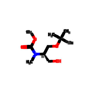 CN(C(=O)OC(C)(C)C)[C@@H](CO)CO[Si](C)(C)C(C)(C)C